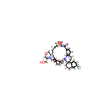 C[C@@H]1[C@@H](C)CCC[C@@](O)(CN2CCOC[C@H]2CO)[C@@H]2CC[C@H]2CN2C[C@@]3(CCCc4cc(Cl)ccc43)CCc3ccc(cc32)C(=O)NS1(=O)=O